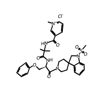 C[n+]1cccc(C(=O)NC(C)(C)C(=O)N[C@H](COc2ccccc2)C(=O)N2CCC3(CC2)CN(S(C)(=O)=O)c2ccccc23)c1.[Cl-]